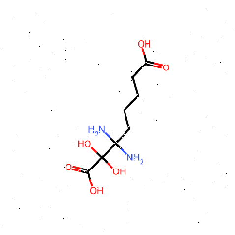 NC(N)(CCCCC(=O)O)C(O)(O)C(=O)O